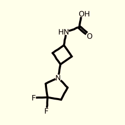 O=C(O)NC1CC(N2CCC(F)(F)C2)C1